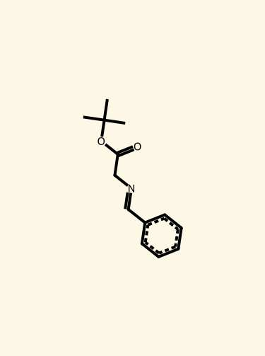 CC(C)(C)OC(=O)CN=Cc1ccccc1